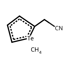 C.N#CCc1ccc[te]1